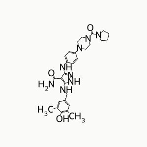 Cc1cc(CNc2[nH]nc(Nc3ccc(N4CCN(C(=O)N5CCCC5)CC4)cc3)c2C(N)=O)cc(C)c1O